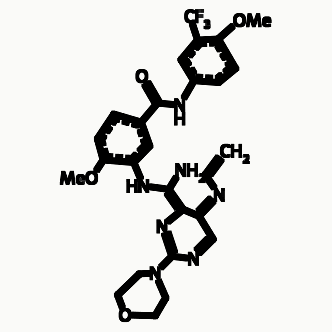 C=C/N=C1/C=NC(N2CCOCC2)=N/C1=C(/N)Nc1cc(C(=O)Nc2ccc(OC)c(C(F)(F)F)c2)ccc1OC